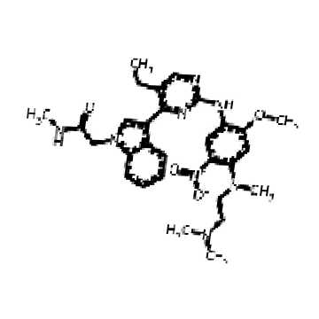 CCc1cnc(Nc2cc([N+](=O)[O-])c(N(C)CCN(C)C)cc2OC)nc1-c1cn(CC(=O)NC)c2ccccc12